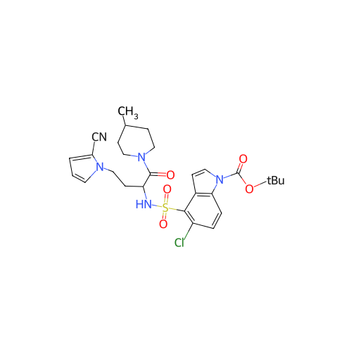 CC1CCN(C(=O)C(CCn2cccc2C#N)NS(=O)(=O)c2c(Cl)ccc3c2ccn3C(=O)OC(C)(C)C)CC1